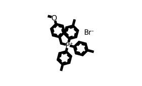 COc1ccc(C[P+](c2ccc(C)cc2)(c2ccc(C)cc2)c2ccc(C)cc2)cc1.[Br-]